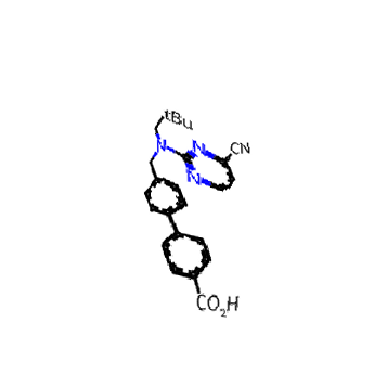 CC(C)(C)CN(Cc1ccc(-c2ccc(C(=O)O)cc2)cc1)c1nccc(C#N)n1